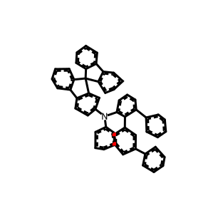 c1ccc(-c2cccc(-c3c(-c4ccccc4)cccc3N(c3ccccc3)c3ccc4c(c3)C3(c5ccccc5-c5ccccc53)c3ccccc3-4)c2)cc1